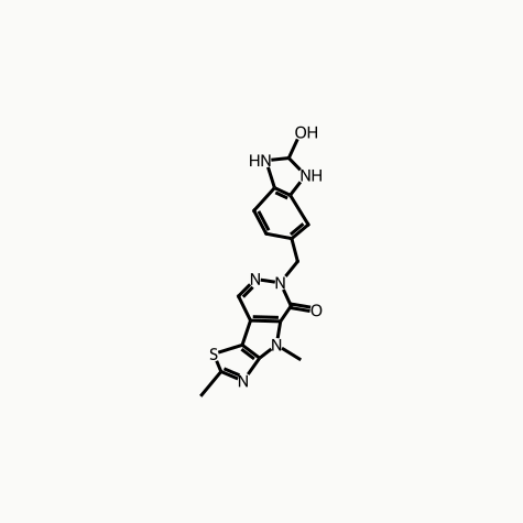 Cc1nc2c(s1)c1cnn(Cc3ccc4c(c3)NC(O)N4)c(=O)c1n2C